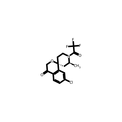 C[C@H]1C[C@@]2(CCN1C(=O)C(F)(F)F)OCC(=O)c1ccc(Cl)cc12